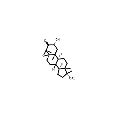 CC(=O)O[C@]1(C)CC[C@H]2[C@@H]3CC[C@@]45O[C@]4(C)C(=O)[C@H](C#N)C[C@]5(C)[C@H]3CC[C@@]21C